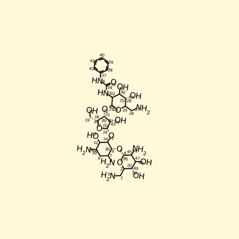 NCC1O[C@H](O[C@@H]2C(N)C[C@@H](N)C(O)C2O[C@@H]2O[C@H](CO)[C@H](O[C@H]3OC(CN)[C@@H](O)C(O)C3NC(=O)Nc3ccccc3)[C@@H]2O)C(N)C(O)[C@@H]1O